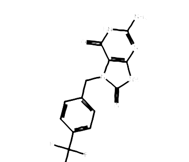 Nc1nc2[nH]c(=O)n(Cc3ccc(C(F)(F)F)cc3)c2c(=O)[nH]1